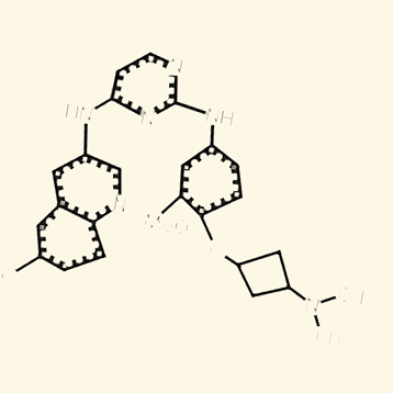 COc1cc(Nc2nccc(Nc3cnc4ccc(C#N)cc4c3)n2)ccc1OC1CC(N(C)C)C1